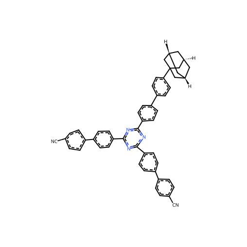 N#Cc1ccc(-c2ccc(-c3nc(-c4ccc(-c5ccc(C#N)cc5)cc4)nc(-c4ccc(-c5ccc(C67C[C@H]8C[C@@H](C6)C[C@@H](C7)C8)cc5)cc4)n3)cc2)cc1